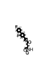 O=C1NC(CCC(=O)N2CC(c3ccc(-c4ccc(F)cc4)c(F)c3)C2)CO1